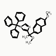 COc1ccc2cc(C(C)(OC)c3cn(C(c4ccccc4)(c4ccccc4)c4ccccc4)cn3)ccc2c1